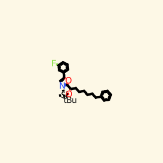 CC(C)(C)[Si](C)(C)OC(CCCCCCc1ccccc1)c1ncc(-c2cccc(F)c2)o1